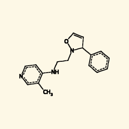 Cc1cnccc1NCCN1OC=CC1c1ccccc1